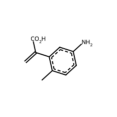 C=C(C(=O)O)c1cc(N)ccc1C